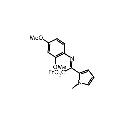 CCOC(=O)C(=Nc1ccc(OC)cc1OC)c1cccn1C